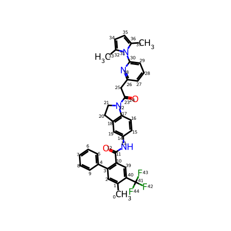 Cc1cc(-c2ccccc2)c(C(=O)Nc2ccc3c(c2)CCN3C(=O)Cc2cccc(-n3c(C)ccc3C)n2)cc1C(F)(F)F